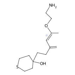 C=C(/C=C(\C)OCCN)CCC1(O)CCSCC1